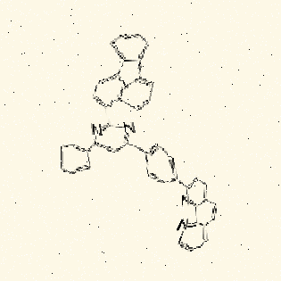 c1ccc(-c2cc(-c3ccc(-c4ccc5ccc6cccnc6c5n4)cc3)nc(-c3ccc4c5c(cccc35)-c3ccccc3-4)n2)cc1